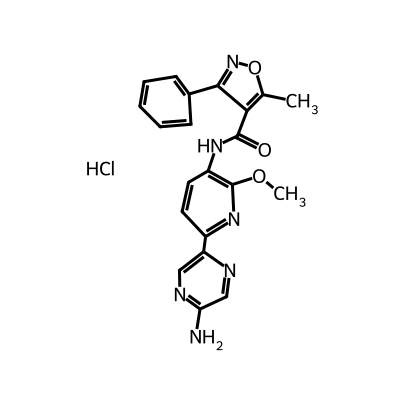 COc1nc(-c2cnc(N)cn2)ccc1NC(=O)c1c(-c2ccccc2)noc1C.Cl